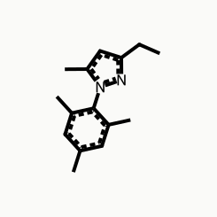 CCc1cc(C)n(-c2c(C)cc(C)cc2C)n1